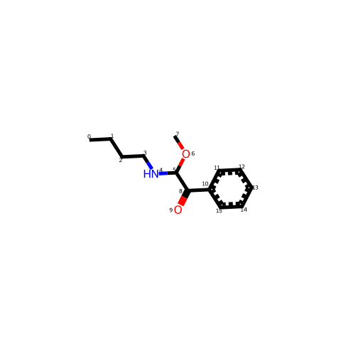 CCCCNC(OC)C(=O)c1ccccc1